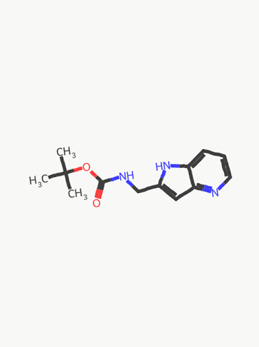 CC(C)(C)OC(=O)NCc1cc2ncccc2[nH]1